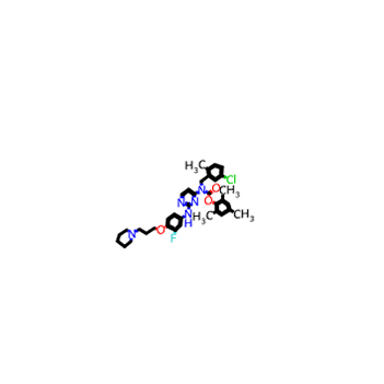 Cc1cc(C)c(OC(=O)N(Cc2cc(Cl)ccc2C)c2ccnc(Nc3ccc(OCCCN4CCCCC4)c(F)c3)n2)c(C)c1